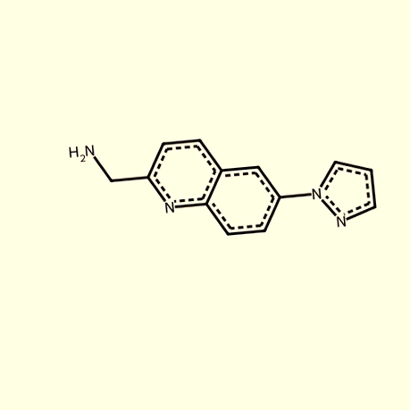 NCc1ccc2cc(-n3cccn3)ccc2n1